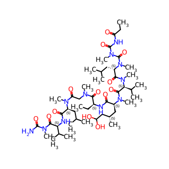 CCC(=O)NC(=O)N(C)C(=O)N(C)[C@@H](CC(C)C)C(=O)N(C)[C@H](C(=O)N(C)[C@@H](C[C@H](C)CC(O)O)C(=O)N[C@@H](CC)C(=O)N(C)CC(=O)N(C)[C@@H](CC(C)C)C(=O)N[C@H](C(=O)N(C)C(N)=O)C(C)C)C(C)C